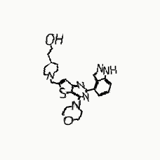 OCCC1CCN(Cc2cc3nc(-c4cccc5[nH]ncc45)nc(N4CCOCC4)c3s2)CC1